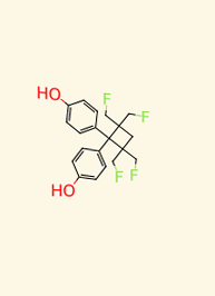 Oc1ccc(C2(c3ccc(O)cc3)C(CF)(CF)CC2(CF)CF)cc1